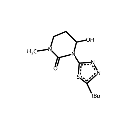 CN1CCC(O)N(c2nnc(C(C)(C)C)s2)C1=O